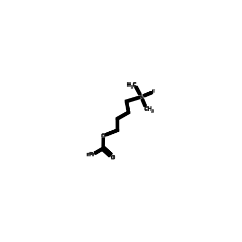 CCCC(=O)OCCCC[Si](C)(C)F